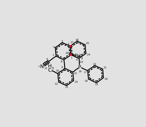 Cc1cccc(C#N)c1-c1c(C)cccc1P(c1ccccc1)c1ccccc1